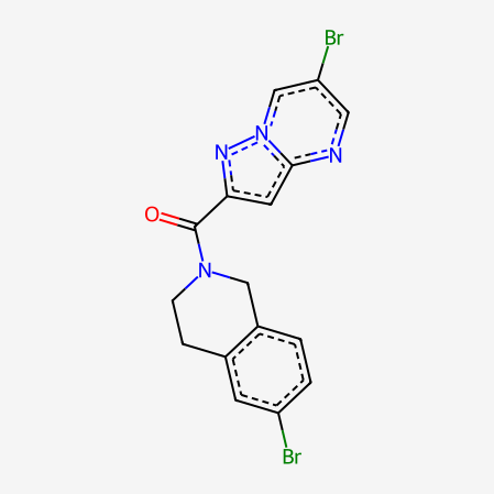 O=C(c1cc2ncc(Br)cn2n1)N1CCc2cc(Br)ccc2C1